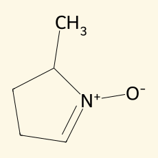 CC1CCC=[N+]1[O-]